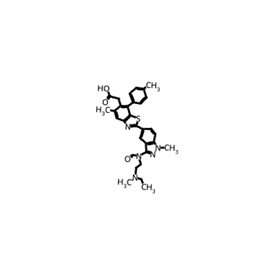 CCN(C)CCN(C=O)c1nn(C)c2ccc(-c3nc4cc(C)c(CC(=O)O)c(-c5ccc(C)cc5)c4s3)cc12